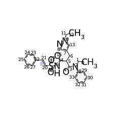 CCN(C(=O)C(Cc1cnn(CC)c1)C(=O)NS(=O)(=O)/C=C/c1ccccc1)c1ccccc1